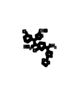 NC(c1csc(C2OCCO2)c1)c1ccc(N(C(=O)O)C(c2cccc(Cl)c2)c2csc(C=O)c2)c(Cl)c1